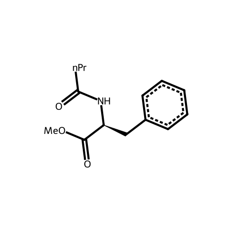 CCCC(=O)N[C@@H](Cc1ccccc1)C(=O)OC